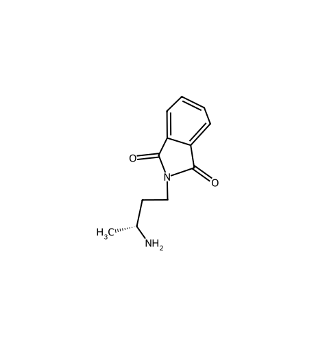 C[C@@H](N)CCN1C(=O)c2ccccc2C1=O